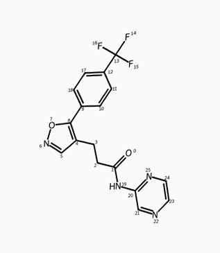 O=C(CCc1cnoc1-c1ccc(C(F)(F)F)cc1)Nc1cnccn1